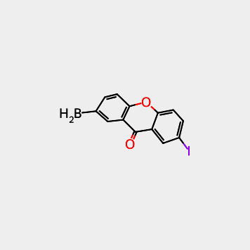 Bc1ccc2oc3ccc(I)cc3c(=O)c2c1